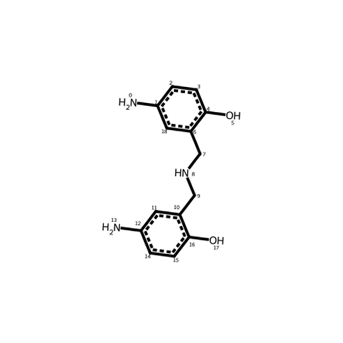 Nc1ccc(O)c(CNCc2cc(N)ccc2O)c1